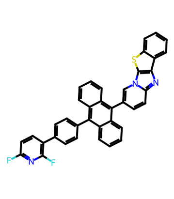 Fc1ccc(-c2ccc(-c3c4ccccc4c(-c4ccc5nc6c7ccccc7sc6n5c4)c4ccccc34)cc2)c(F)n1